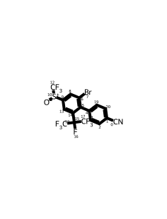 N#Cc1ccc(-c2c(Br)[c]c([S+]([O-])C(F)(F)F)cc2C(F)(C(F)(F)F)C(F)(F)F)cc1